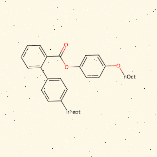 CCCCCCCCOc1ccc(OC(=O)c2ccccc2-c2ccc(CCCCC)cc2)cc1